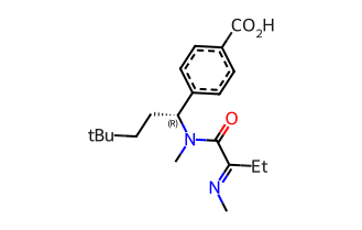 CCC(=NC)C(=O)N(C)[C@H](CCC(C)(C)C)c1ccc(C(=O)O)cc1